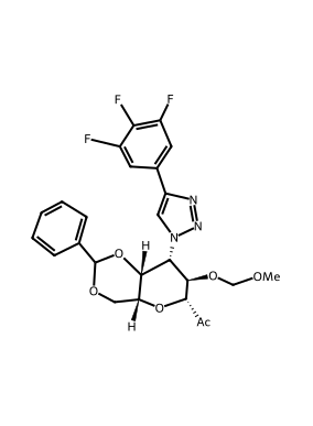 COCO[C@@H]1[C@@H](n2cc(-c3cc(F)c(F)c(F)c3)nn2)[C@H]2OC(c3ccccc3)OC[C@H]2O[C@H]1C(C)=O